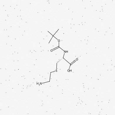 CC(C)(C)OC(=O)N[C@@H](CSCCN)C(=O)O